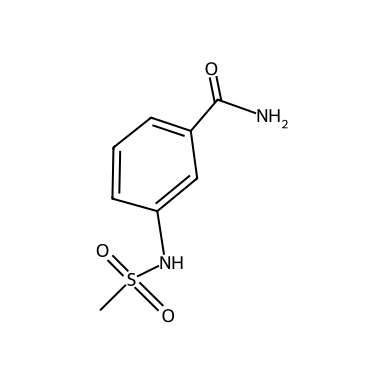 CS(=O)(=O)Nc1cccc(C(N)=O)c1